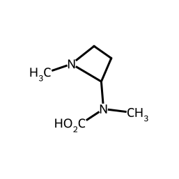 CN1CCC1N(C)C(=O)O